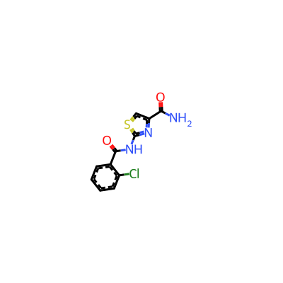 NC(=O)c1csc(NC(=O)c2ccccc2Cl)n1